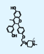 CC1=C(c2cccc(O)c2)C(c2ccc(OC[C@H](C)N3CCN(C)[C@@H](C)C3)cc2)Oc2ccc(O)cc21